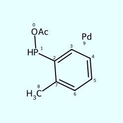 CC(=O)OPc1ccccc1C.[Pd]